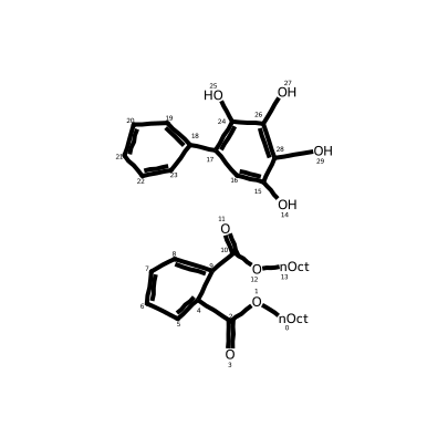 CCCCCCCCOC(=O)c1ccccc1C(=O)OCCCCCCCC.Oc1cc(-c2ccccc2)c(O)c(O)c1O